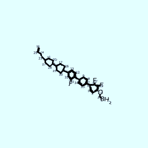 BCOc1ccc(-c2ccc(-c3ccc(C4CCC(C5CCC(CCC=C)CC5)CC4)cc3F)cc2)c(F)c1F